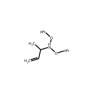 C=CC(C)[SiH](OCCC)OCCC